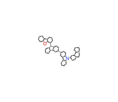 c1ccc2c(c1)-c1cc(-c3ccc4c(c3)c3ccccc3n4-c3ccc4ccc5ccccc5c4c3)ccc1C2c1cccc2c1oc1ccccc12